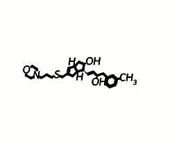 Cc1cccc(C[C@H](O)/C=C/[C@@H]2[C@H]3CC(CSCCCN4CCOCC4)=C[C@H]3C[C@H]2O)c1